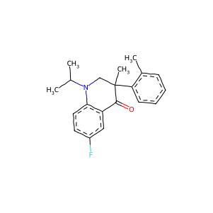 Cc1ccccc1C1(C)CN(C(C)C)c2ccc(F)cc2C1=O